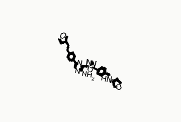 Nc1ncc(-c2ccc(CCC3CCOC3)cc2)nc1-c1nnc(-c2ccc(CN[C@@H]3CCOC3)cc2)o1